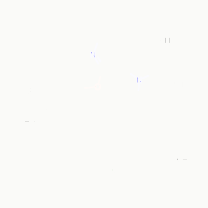 C#CCCCn1c(C)c(C)c2ccnc(OCCC(C)C)c21.Cl